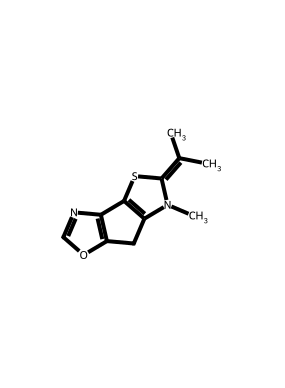 CC(C)=C1SC2=C(Cc3ocnc32)N1C